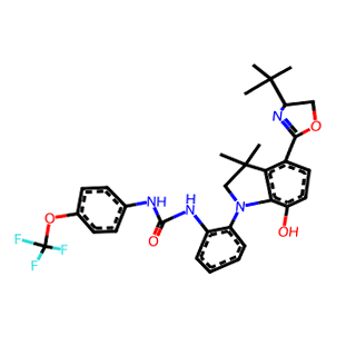 CC1(C)CN(c2ccccc2NC(=O)Nc2ccc(OC(F)(F)F)cc2)c2c(O)ccc(C3=NC(C(C)(C)C)CO3)c21